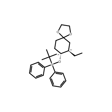 CC[C@@H]1CC2(CC[C@H]1O[Si](c1ccccc1)(c1ccccc1)C(C)(C)C)OCCO2